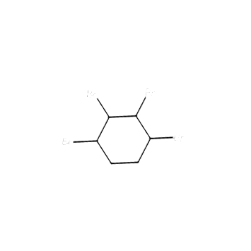 BrC1CCC(Br)C(Br)C1Br